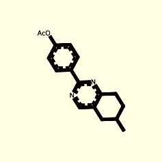 CC(=O)Oc1ccc(-c2ncc3c(n2)CCC(C)C3)cc1